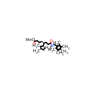 COC(=O)CCC[C@@H](CCC(=O)N(C)Cc1c(C)c(C)c(C)c(C)c1C)[C@H]1CC[C@@H](C)[C@H]1C